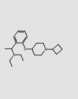 [CH2]C(c1ccccc1OC1CCN(C2CCC2)CC1)N(CC)CC